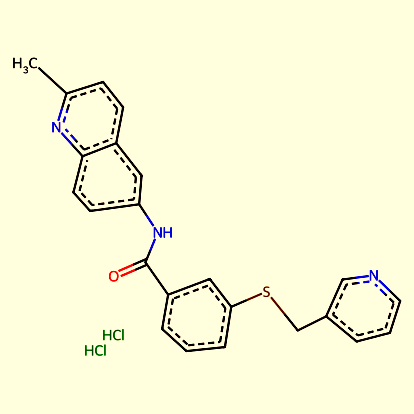 Cc1ccc2cc(NC(=O)c3cccc(SCc4cccnc4)c3)ccc2n1.Cl.Cl